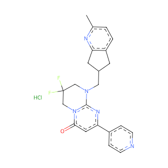 Cc1ccc2c(n1)CC(CN1CC(F)(F)Cn3c1nc(-c1ccncc1)cc3=O)C2.Cl